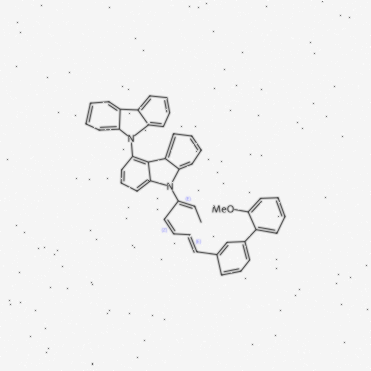 C\C=C(/C=C\C=C\c1cccc(-c2ccccc2OC)c1)n1c2ccccc2c2c(-n3c4ccccc4c4ccccc43)cccc21